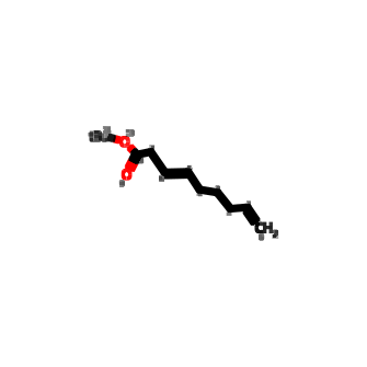 C=CCCCC=CCC(=O)OC(C)(C)C